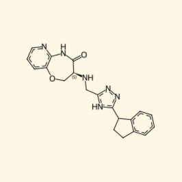 O=C1Nc2ncccc2OC[C@@H]1NCc1nnc(C2CCc3ccccc32)[nH]1